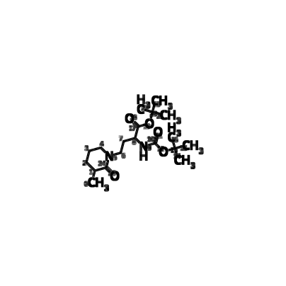 CC1CCCN(CCC(NC(=O)OC(C)(C)C)C(=O)OC(C)(C)C)C1=O